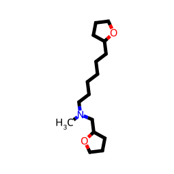 CN(CCCCCCC1CCCO1)CC1CCCO1